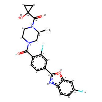 C[C@H]1CN(C(=O)c2ccc(-c3nc4ccc(F)cc4o3)cc2F)CCN1C(=O)C1(O)CC1